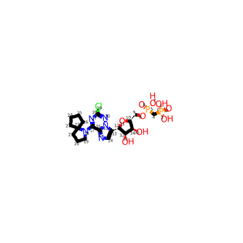 O=P(O)(O)CP(=O)(O)OC[C@H]1O[C@@H](c2cnc3c(N4CCCC45CCCC5)nc(Cl)nn23)[C@H](O)[C@@H]1O